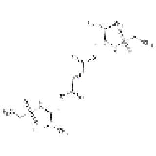 CCS(=O)(=O)N[C@H](COC(=O)/C=C/C(=O)OC[C@@H](NS(=O)(=O)CC)C(C)C)C(C)C